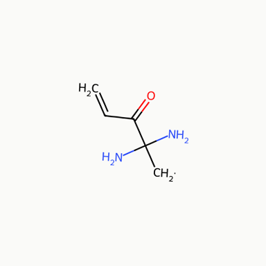 [CH2]C(N)(N)C(=O)C=C